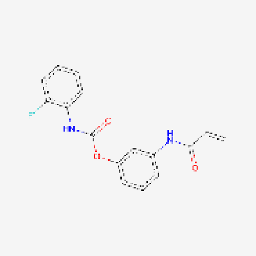 C=CC(=O)Nc1cccc(OC(=O)Nc2ccccc2F)c1